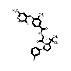 Cc1cc(Oc2ccc(C(=O)NCC(=O)N3C(C(C)(C)C#N)CC[C@H]3c3cccc(F)c3)cc2C)c(=O)[nH]n1